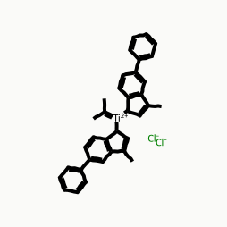 CC1=C[CH]([Ti+2](=[C](C)C)[CH]2C=C(C)c3cc(-c4ccccc4)ccc32)c2ccc(-c3ccccc3)cc21.[Cl-].[Cl-]